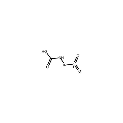 O=C(O)NN[SH](=O)=O